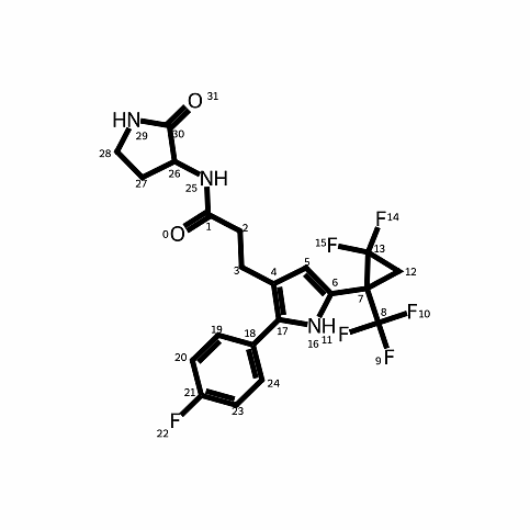 O=C(CCc1cc(C2(C(F)(F)F)CC2(F)F)[nH]c1-c1ccc(F)cc1)NC1CCNC1=O